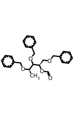 C[C@@H](OCc1ccccc1)C(OCc1ccccc1)[C@@H](COCc1ccccc1)OC=O